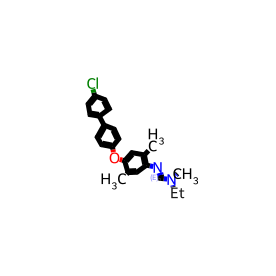 CCN(C)/C=N/c1cc(C)c(Oc2ccc(-c3ccc(Cl)cc3)cc2)cc1C